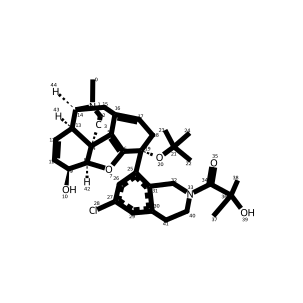 CN1CC[C@]23C4=C5O[C@H]2[C@@H](O)C=C[C@H]3[C@H]1CC4=CC[C@@]5(OC(C)(C)C)c1cc(Cl)cc2c1CN(C(=O)C(C)(C)O)CC2